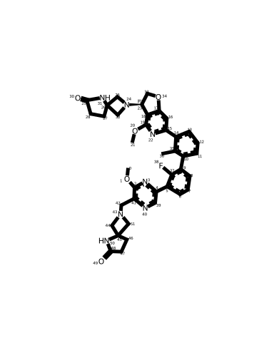 COc1nc(-c2cccc(-c3cccc(-c4cc5c(c(OC)n4)[C@@H](N4CC6(CCC(=O)N6)C4)CO5)c3C)c2F)cnc1CN1CC2(CCC(=O)N2)C1